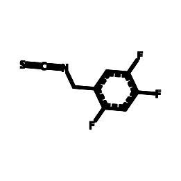 Fc1cc(F)c(CN=C=S)cc1F